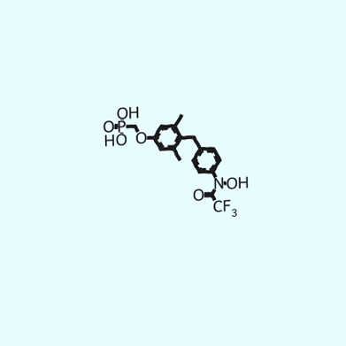 Cc1cc(OCP(=O)(O)O)cc(C)c1Cc1ccc(N(O)C(=O)C(F)(F)F)cc1